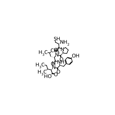 CC[C@H](C)[C@H](NC(=O)[C@H](Cc1ccc(O)cc1)NC(=O)[C@H](CC(C)C)NC(=O)[C@@H]1CCCN1C(=O)[C@@H](N)CS)C(=O)O